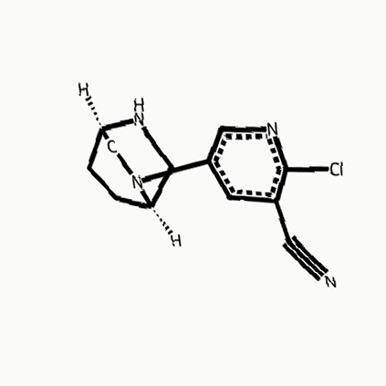 N#Cc1cc(N2C[C@H]3CC[C@@H]2CN3)cnc1Cl